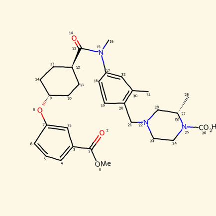 COC(=O)c1cccc(O[C@H]2CC[C@H](C(=O)N(C)c3ccc(CN4CCN(C(=O)O)[C@@H](C)C4)c(C)c3)CC2)c1